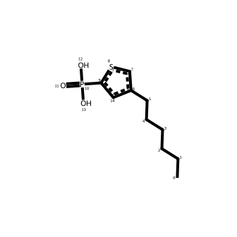 CCCCCCc1csc(P(=O)(O)O)c1